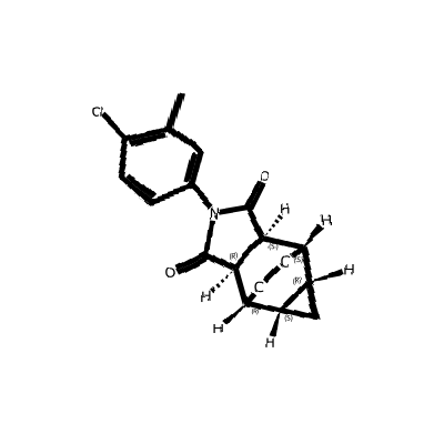 Cc1cc(N2C(=O)[C@@H]3[C@@H]4CC[C@@H]([C@@H]5C[C@@H]54)[C@@H]3C2=O)ccc1Cl